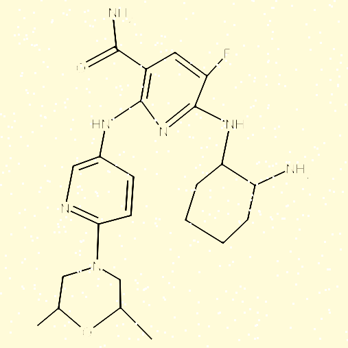 CC1CN(c2ccc(Nc3nc(NC4CCCCC4N)c(F)cc3C(N)=O)cn2)CC(C)O1